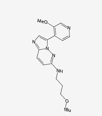 COc1cnccc1-c1cnc2ccc(NCCCOC(C)(C)C)nn12